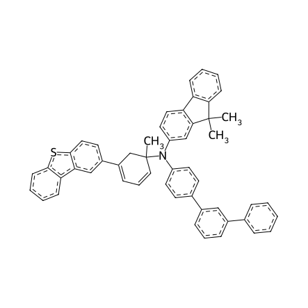 CC1(C)c2ccccc2-c2ccc(N(c3ccc(-c4cccc(-c5ccccc5)c4)cc3)C3(C)C=CC=C(c4ccc5sc6ccccc6c5c4)C3)cc21